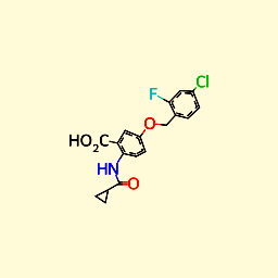 O=C(O)c1cc(OCc2ccc(Cl)cc2F)ccc1NC(=O)C1CC1